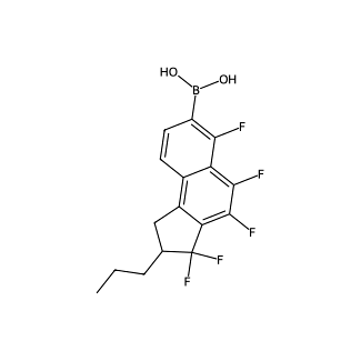 CCCC1Cc2c(c(F)c(F)c3c(F)c(B(O)O)ccc23)C1(F)F